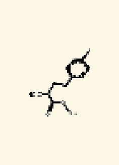 CC(C)(C)OC(=O)C(CCc1ccc(F)cc1)C(=O)O